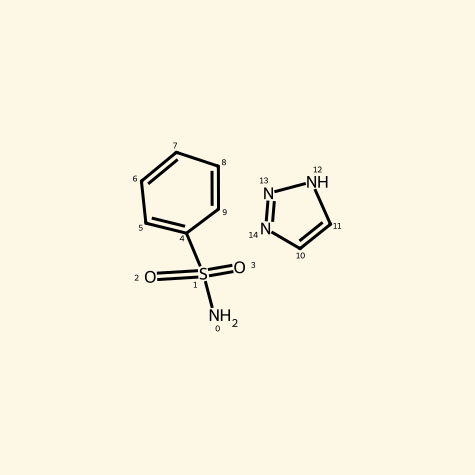 NS(=O)(=O)c1ccccc1.c1c[nH]nn1